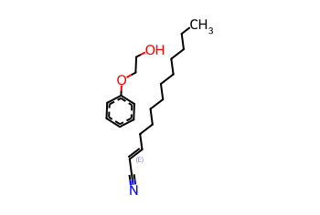 CCCCCCCCCC/C=C/C#N.OCCOc1ccccc1